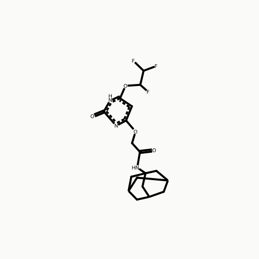 O=C(COc1cc(OC(F)C(F)F)[nH]c(=O)n1)NC12CC3CC(CC(C3)C1)C2